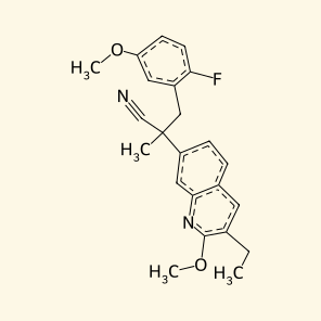 CCc1cc2ccc(C(C)(C#N)Cc3cc(OC)ccc3F)cc2nc1OC